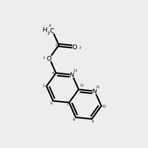 CC(=O)Oc1ccc2cccnc2n1